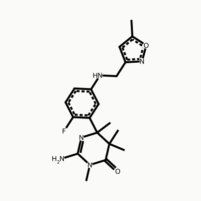 Cc1cc(CNc2ccc(F)c(C3(C)N=C(N)N(C)C(=O)C3(C)C)c2)no1